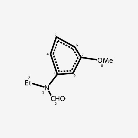 CCN([C]=O)c1cccc(OC)c1